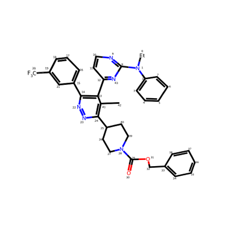 CCN(c1ccccc1)c1nccc(-c2c(-c3cccc(C(F)(F)F)c3)nnc(C3CCN(C(=O)OCc4ccccc4)CC3)c2C)n1